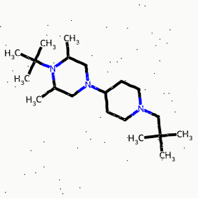 CC1CN(C2CCN(CC(C)(C)C)CC2)CC(C)N1C(C)(C)C